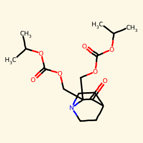 CC(C)OC(=O)OCC1(COC(=O)OC(C)C)C(=O)C2CCN1CC2